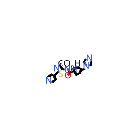 CN1CCN(Cc2ccc(C(=O)Nc3sc(-c4ccncc4)nc3C(=O)O)cc2)CC1